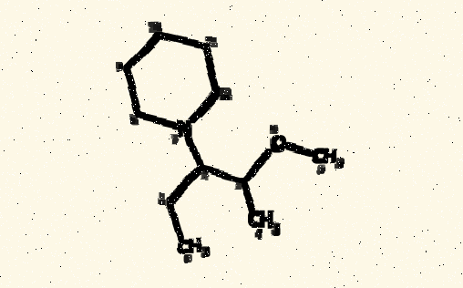 CCC(C(C)OC)N1CCCCC1